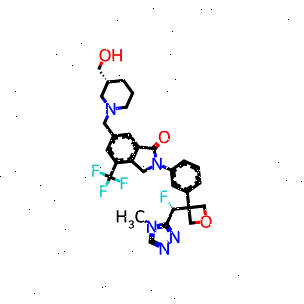 Cn1cnnc1[C@H](F)C1(c2cccc(N3Cc4c(cc(CN5CCC[C@@H](CO)C5)cc4C(F)(F)F)C3=O)c2)COC1